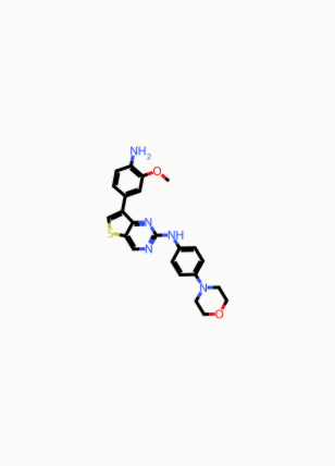 COc1cc(-c2csc3cnc(Nc4ccc(N5CCOCC5)cc4)nc23)ccc1N